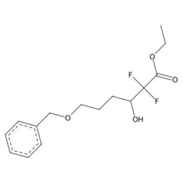 CCOC(=O)C(F)(F)C(O)CCCOCc1ccccc1